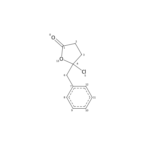 O=C1CCC(Cl)(Cc2ccccc2)O1